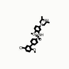 COc1ccc(N2CC(C)NC(C)C2)cc1NS(=O)(=O)c1ccc(-c2cc(Cl)ccc2OC)cc1